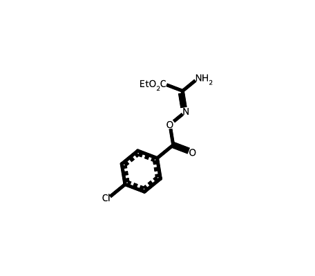 CCOC(=O)/C(N)=N\OC(=O)c1ccc(Cl)cc1